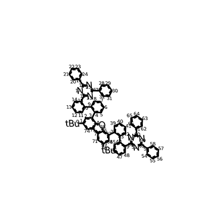 CC(C)(C)c1cc(-c2ccccc2-c2ccccc2-c2nc(-c3ccccc3)nc(-c3ccccc3)n2)c2oc3c(-c4ccccc4-c4ccccc4-c4nc(-c5ccccc5)nc(-c5ccccc5)n4)cc(C(C)(C)C)cc3c2c1